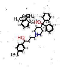 CC(=O)O.CC(C)(C)c1ccc(C(O)CCCN2CCC(C(O)(c3ccccc3)c3ccccc3)CC2)cc1.Cc1ccccc1C